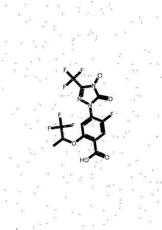 CC(Oc1cc(-n2nc(C(F)(F)F)n(Cl)c2=O)c(F)cc1C(=O)O)C(F)(F)F